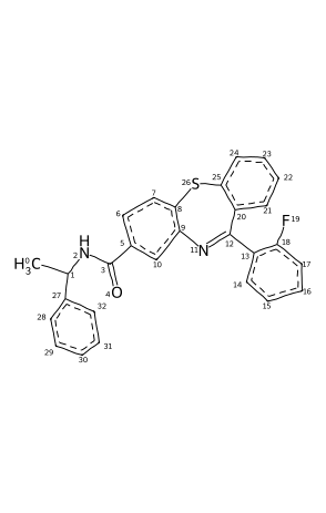 CC(NC(=O)c1ccc2c(c1)N=C(c1ccccc1F)c1ccccc1S2)c1ccccc1